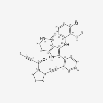 CC#CC(=O)N1CCCC1C#Cc1cnccc1-c1[nH]c2c(c1Nc1cccc(Cl)c1OC)C(=O)NCC2